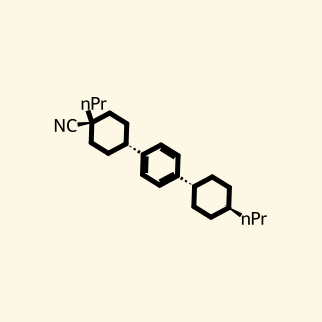 CCC[C@H]1CC[C@H](c2ccc([C@H]3CC[C@@](C#N)(CCC)CC3)cc2)CC1